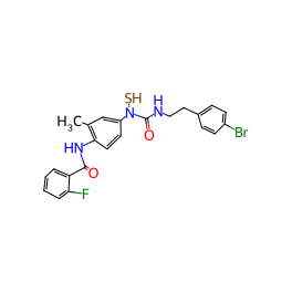 Cc1cc(N(S)C(=O)NCCc2ccc(Br)cc2)ccc1NC(=O)c1ccccc1F